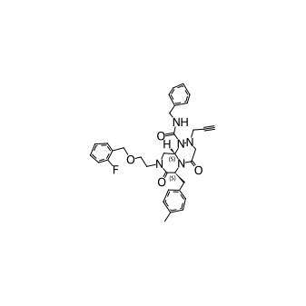 C#CCN1CC(=O)N2[C@@H](Cc3ccc(C)cc3)C(=O)N(CCOCc3ccccc3F)C[C@@H]2N1C(=O)NCc1ccccc1